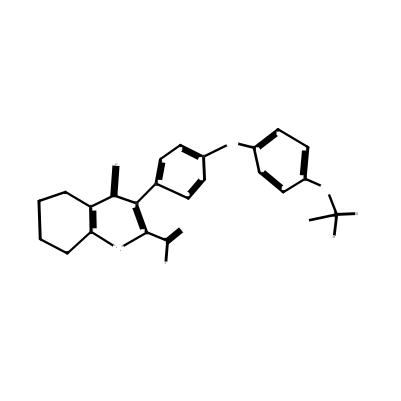 O=C(O)c1[nH]c2c(c(=O)c1-c1ccc(Oc3ccc(OC(F)(F)F)cc3)cc1)CCCC2